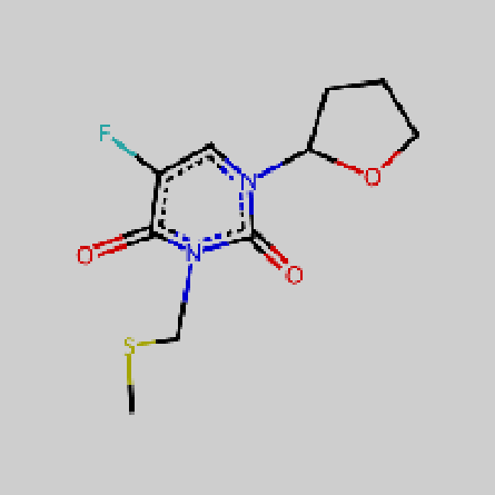 CSCn1c(=O)c(F)cn(C2CCCO2)c1=O